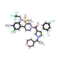 Cc1cc(N(CC(F)(F)F)S(C)(=O)=O)c(C2CCN(C(=O)C3CN(C(C)C4CCOCC4)C[C@H]3c3ccc(F)cc3F)CC2)cc1Cl